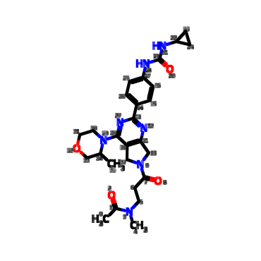 CC(=O)N(C)CCC(=O)N1Cc2nc(-c3ccc(NC(=O)NC4CC4)cc3)nc(N3CCOCC3C)c2C1